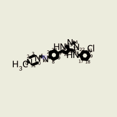 CN1CCN(/C=N/c2ccc(-c3cc4c(Nc5cccc(Cl)c5)ncnc4[nH]3)cc2)CC1